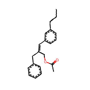 CCCc1cccc(/C=C(\COC(C)=O)Cc2ccccc2)c1